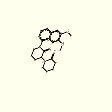 COc1cc2ccnc(N3CCCC(N4CCCCC4=O)C3=O)c2cc1OC